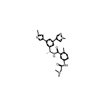 Cc1ccc(NC(=O)CN(C)C)cc1C(=O)N[C@H](C)c1cc(-c2cnn(C)c2)cc(-c2cnn(C)c2)c1